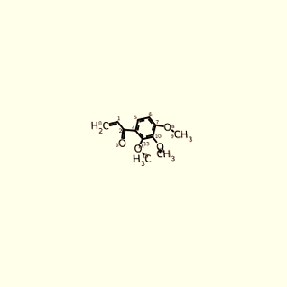 C=CC(=O)c1ccc(OC)c(OC)c1OC